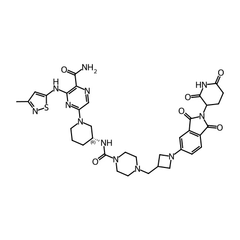 Cc1cc(Nc2nc(N3CCC[C@@H](NC(=O)N4CCN(CC5CN(c6ccc7c(c6)C(=O)N(C6CCC(=O)NC6=O)C7=O)C5)CC4)C3)cnc2C(N)=O)sn1